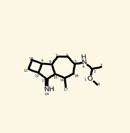 COC(C)NC1CCC2C3CCC3C(=N)C2C(C)C1